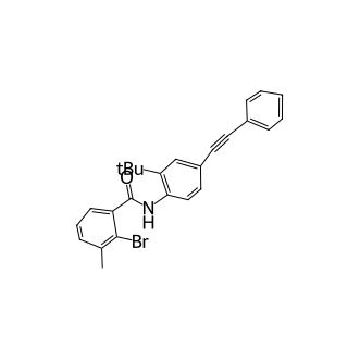 Cc1cccc(C(=O)Nc2ccc(C#Cc3ccccc3)cc2C(C)(C)C)c1Br